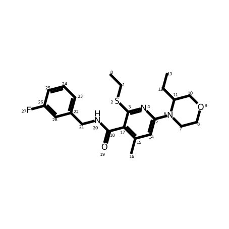 CCSc1nc(N2CCOCC2CC)cc(C)c1C(=O)NCc1cccc(F)c1